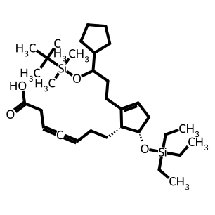 CC[Si](CC)(CC)O[C@H]1CC=C(CCC(O[Si](C)(C)C(C)(C)C)C2CCCC2)[C@H]1CCC=C=CCC(=O)O